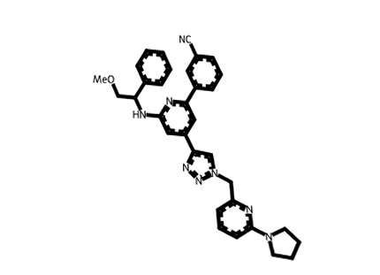 COCC(Nc1cc(-c2cn(Cc3cccc(N4CCCC4)n3)nn2)cc(-c2cccc(C#N)c2)n1)c1ccccc1